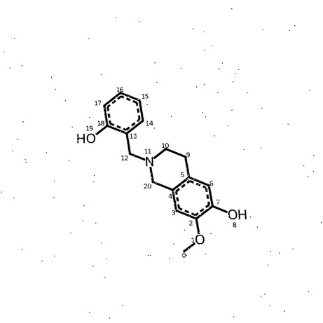 COc1cc2c(cc1O)CCN(Cc1ccccc1O)C2